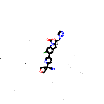 N#CC1(c2ccc(-c3cc4c(cc3F)N3C(=O)O[C@@H](Cn5ccnn5)[C@@H]3C4)cn2)C2COCC21